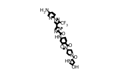 CN(C(=O)c1ccc(NC(=O)c2ncc(-c3cn(-c4ccc(N)cn4)nc3C(F)(F)F)n2C)cc1Cl)C1CCN(C(=O)[C@@H]2C[C@@H](O)CN2)CC1